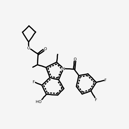 Cc1c(C(C)C(=O)OC2CCC2)c2c(F)c(O)ccc2n1C(=O)c1ccc(F)c(F)c1